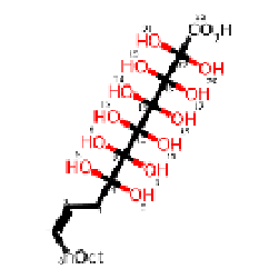 CCCCCCCC/C=C\CC(O)(O)C(O)(O)C(O)(O)C(O)(O)C(O)(O)C(O)(O)C(=O)O